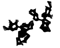 Fc1ccc(-c2nc3occn3c2-c2ccc3[nH]ncc3c2)c(F)c1F.Fc1ccc(-c2nc3occn3c2-c2ccc3nccn3c2)c(F)c1